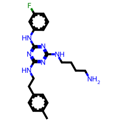 Cc1ccc(CCNc2nc(NCCCCN)nc(Nc3cccc(F)c3)n2)cc1